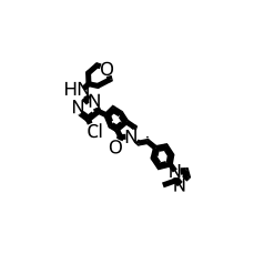 Cc1nccn1-c1ccc([CH]CN2Cc3ccc(-c4nc(NC5CCOCC5)ncc4Cl)cc3C2=O)cc1